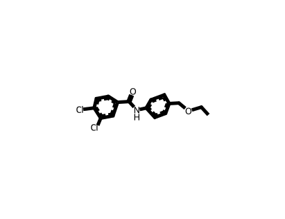 CCOCc1ccc(NC(=O)c2ccc(Cl)c(Cl)c2)cc1